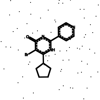 O=c1nc(-c2ccncc2)[nH]c(C2CCCC2)c1Br